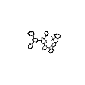 CC1(C)c2ccccc2Cc2cc3c4ccccc4n(-c4cccc(-c5nc(-c6ccccc6)nc(-c6cc(-c7ccccc7)cc(-c7ccccc7)c6)n5)c4)c3cc21